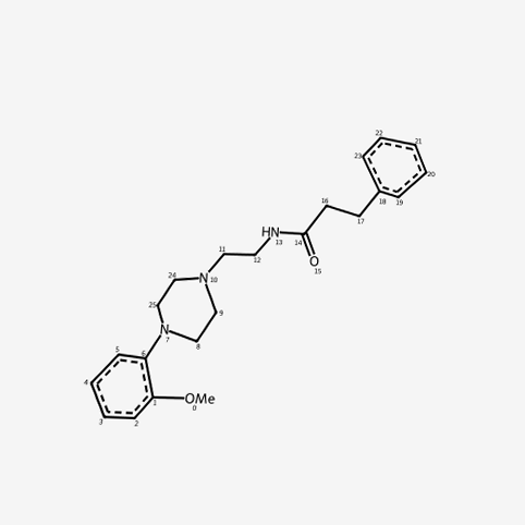 COc1ccccc1N1CCN(CCNC(=O)CCc2ccccc2)CC1